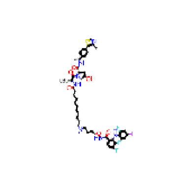 Cc1ncsc1-c1ccc([C@H](C)NC(=O)[C@@H]2C[C@@H](O)CN2C(=O)[C@@H](NC(=O)CCCCCCCCCCN(C)CCCCONC(=O)c2ccc(F)c(F)c2Nc2ccc(I)cc2F)C(C)(C)C)cc1